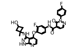 CC1(Nc2n[nH]c3nccc(Oc4ccc(NC(=O)c5ccnn(-c6ccc(F)cc6)c5=O)cc4F)c23)CC(O)C1